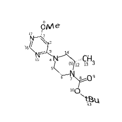 COc1cc(N2CCN(C(=O)OC(C)(C)C)[C@@H](C)C2)ncn1